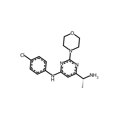 C[C@@H](N)c1cc(Nc2ccc(Cl)cc2)nc(N2CCOCC2)n1